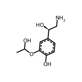 CC(O)Oc1cc([C@@H](O)CN)ccc1O